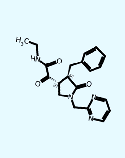 CCNC(=O)C(=O)[C@H]1CN(Cc2ncccn2)C(=O)[C@@H]1Cc1ccccc1